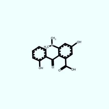 CN(C)c1cc(O)cc(C(=O)O)c1C(=O)c1ccccc1O